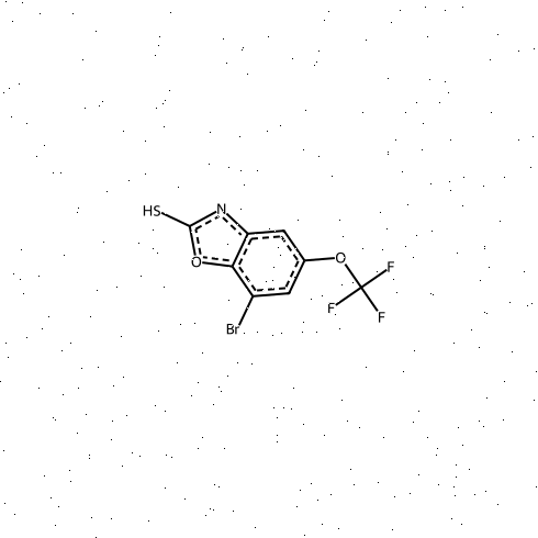 FC(F)(F)Oc1cc(Br)c2oc(S)nc2c1